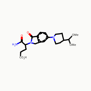 COC(OC)C1CCN(c2ccc3c(c2)CN(C(CCC(=O)O)C(N)=O)C3=O)CC1